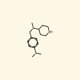 CN(C)c1ccc(CN(C)C2CCNCC2)cc1